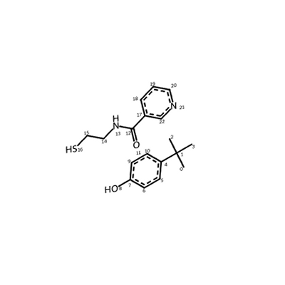 CC(C)(C)c1ccc(O)cc1.O=C(NCCS)c1cccnc1